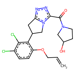 C=CCOc1ccc(Cl)c(Cl)c1C1Cc2nnc(C(=O)N3CCC(O)C3)n2C1